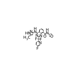 Cc1cc(Nc2nc(C(F)(F)c3ccc(F)cn3)nc3c(C(=O)NC4COC4)cccc23)n[nH]1